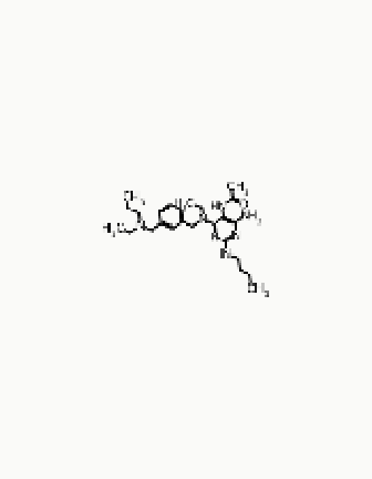 CCCCNc1nc(N)c(NC(C)=O)c(N(CC)Cc2cccc(CN(CC)CCC)c2)n1